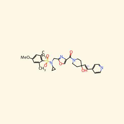 COc1cc(C)c(S(=O)(=O)N(Cc2nc(C(=O)N3CCC(O)(/C=C/c4ccncc4)CC3)co2)C2CC2)c(C)c1